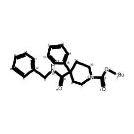 CC(C)(C)OC(=O)N1CCC(C(=O)NCc2ccccc2)(c2ccccc2)CC1